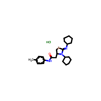 Cc1ccc(NC(=O)CC2CS/C(=N\C3CCCCC3)N2C2CCCCC2)cc1.Cl